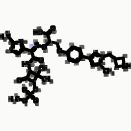 COS(=O)(=O)ON1C(=O)[C@@H](NC(=O)/C(=N\O[C@@H](COc2ccc(-c3cn(CC4CNC4)[n+](C)c3)cc2)C(=O)O)c2csc(N)n2)C1(C)C